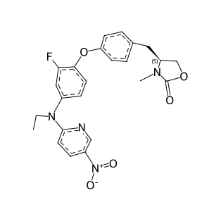 CCN(c1ccc(Oc2ccc(C[C@H]3COC(=O)N3C)cc2)c(F)c1)c1ccc([N+](=O)[O-])cn1